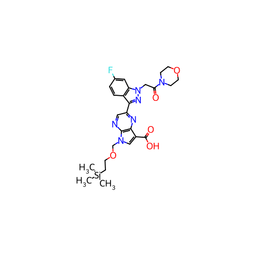 C[Si](C)(C)CCOCn1cc(C(=O)O)c2nc(-c3nn(CC(=O)N4CCOCC4)c4cc(F)ccc34)cnc21